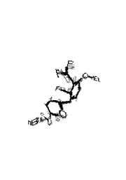 CCCCOC1CCC(c2ccc(OCC)c(C(F)F)c2F)OC1